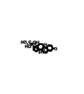 C[C@]12CC[C@H]3[C@@H](CCC4=CC(=O)C=C[C@@]43C)[C@@H]1CC[C@@H]2C(O)(O)C(=O)O